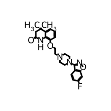 CC1(C)CC(=O)Nc2c(OCCN3CCN(c4noc5cc(F)ccc45)CC3)cccc21